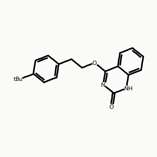 CC(C)(C)c1ccc(CCOc2nc(=O)[nH]c3ccccc23)cc1